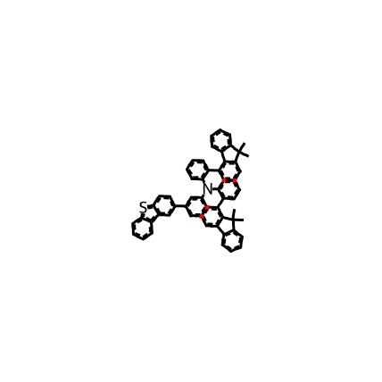 CC1(C)c2ccccc2-c2c(-c3ccccc3N(c3cccc(-c4ccc5sc6ccccc6c5c4)c3)c3ccccc3-c3cccc4c3C(C)(C)c3ccccc3-4)cccc21